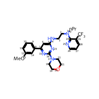 CCCN(CCNc1cc(-c2cccc(OC)c2)nc(N2CCOCC2)n1)c1ncccc1C(F)(F)F